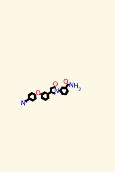 N#Cc1ccc(Oc2cccc(C3CC(=O)N(c4cccc(C(N)=O)c4)C3)c2)cc1